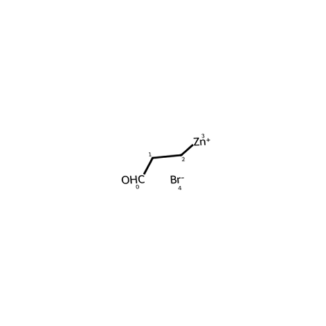 O=CC[CH2][Zn+].[Br-]